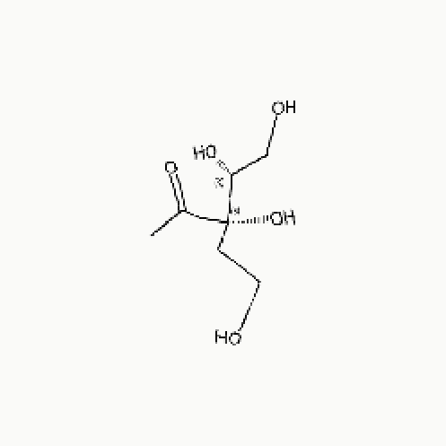 CC(=O)[C@](O)(CCO)[C@H](O)CO